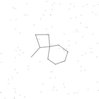 CC1CCC12CCCCC2